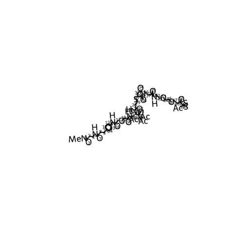 CNC(=O)CCNC(=O)CCc1ccc(NC(=O)COCC(=O)NC[C@@H](NC(=O)CCSC2CC(=O)N(CCC(=O)NCCOCCOCCC(=O)C3(C(C)=O)SS3)C2=O)C(=O)C(C(C)=O)(C(C)=O)C(C)=O)cc1